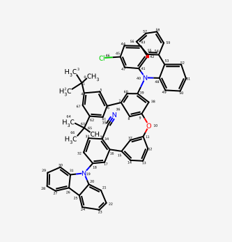 CC(C)(C)c1cc(-c2cc(Oc3cccc(-c4cc(-n5c6ccccc6c6ccccc65)ccc4C#N)c3)cc(N(c3cccc(Cl)c3)c3ccccc3-c3ccccc3)c2)cc(C(C)(C)C)c1